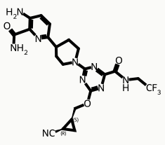 N#C[C@@H]1C[C@@H]1COc1nc(C(=O)NCC(F)(F)F)nc(N2CCC(c3ccc(N)c(C(N)=O)n3)CC2)n1